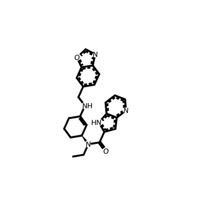 CCN(C(=O)c1cc2ncccc2[nH]1)[C@@H]1C=C(NCc2ccc3ncoc3c2)CCC1